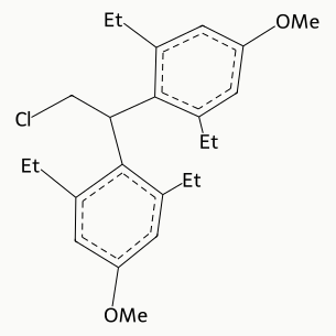 CCc1cc(OC)cc(CC)c1C(CCl)c1c(CC)cc(OC)cc1CC